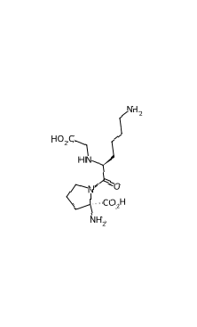 NCCCC[C@H](NCC(=O)O)C(=O)N1CCC[C@@]1(N)C(=O)O